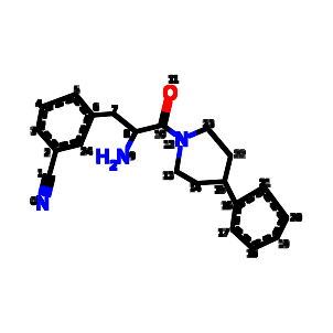 N#Cc1cccc(CC(N)C(=O)N2CCC(c3ccccc3)CC2)c1